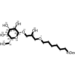 CCCCCCCCCCCCCCCCOCC(O)CO[C@@H]1O[C@H](CO)[C@H](O)[C@H](O)[C@H]1O